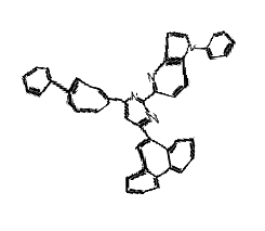 c1ccc(-c2ccc(-c3cc(-c4cc5ccccc5c5ccccc45)nc(-c4ccc5c(ccn5-c5ccccc5)n4)n3)cc2)cc1